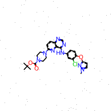 Cn1ccc(Oc2ccc(Nc3ncnc4ccc(N5CCN(C(=O)OC(C)(C)C)CC5)nc34)cc2Cl)n1